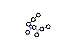 c1ccc(-c2ccc(-c3cccc4c3c3ccc(N(c5ccccc5)c5ccc(-c6ccccc6)cc5)cc3n4-c3ccccc3)cc2)cc1